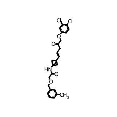 Cc1cccc(COCC(=O)NC23CC(/C=C/CC(=O)COc4ccc(Cl)c(Cl)c4)(C2)C3)c1